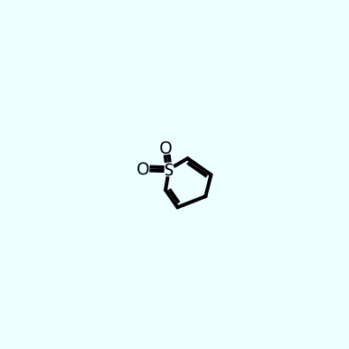 O=S1(=O)C=CCC=C1